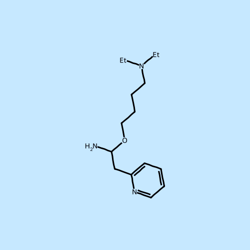 CCN(CC)CCCCOC(N)Cc1ccccn1